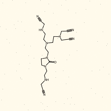 N#CCNCCN(CCN(CC#N)CC#N)CCN1CCN(CCNCC#N)C1=O